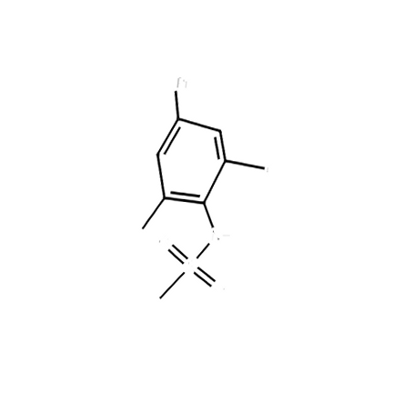 Cc1cc(C(C)C)cc(Cl)c1NS(C)(=O)=O